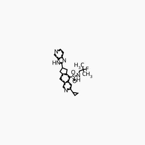 CC(C)(F)CNS(=O)(=O)c1c2c(cc3cnc(C4CC4)cc13)CC(c1nc3ccncc3[nH]1)C2